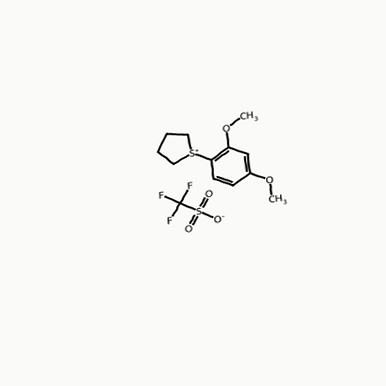 COc1ccc([S+]2CCCC2)c(OC)c1.O=S(=O)([O-])C(F)(F)F